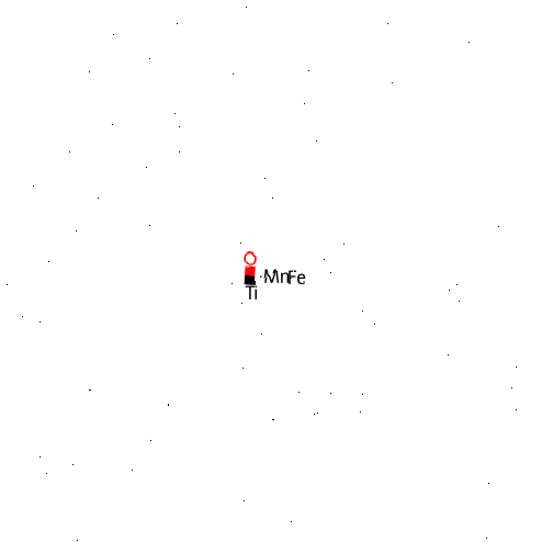 [Fe].[Mn].[O]=[Ti]